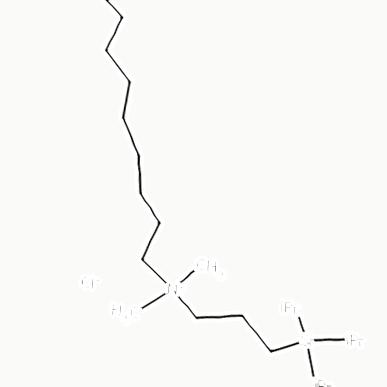 CCCCCCCCCCCCCCCCCC[N+](C)(C)CCC[Si](C(C)C)(C(C)C)C(C)C.[Cl-]